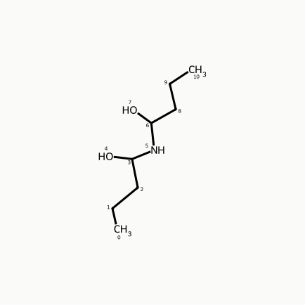 CCCC(O)NC(O)CCC